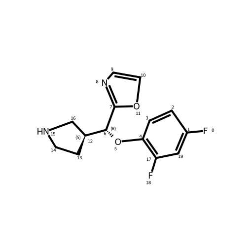 Fc1ccc(O[C@@H](c2ncco2)[C@H]2CCNC2)c(F)c1